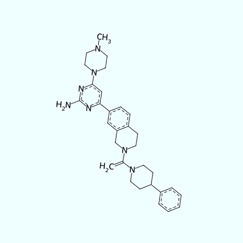 C=C(N1CCC(c2ccccc2)CC1)N1CCc2ccc(-c3cc(N4CCN(C)CC4)nc(N)n3)cc2C1